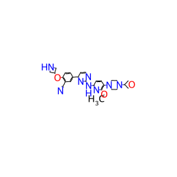 COc1nc(Nc2nccc(-c3ccc(OC4CNC4)c(C#N)c3)n2)ccc1N1CCN(C2COC2)CC1